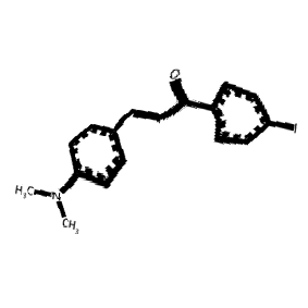 CN(C)c1ccc(C=CC(=O)c2ccc(I)cc2)cc1